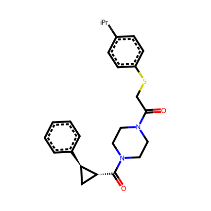 CC(C)c1ccc(SCC(=O)N2CCN(C(=O)[C@@H]3C[C@H]3c3ccccc3)CC2)cc1